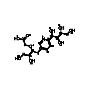 O=C(O)CO[C@@H](Cc1cnc([C@@H](O)[C@H](O)[C@H](O)CO)cn1)[C@H](O)CO